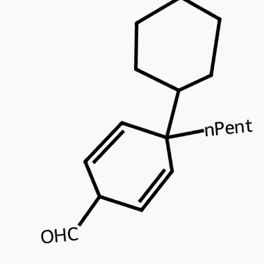 CCCCCC1(C2CCCCC2)C=CC(C=O)C=C1